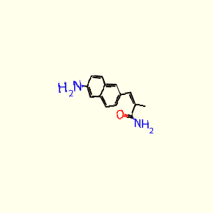 CC(=Cc1ccc2cc(N)ccc2c1)C(N)=O